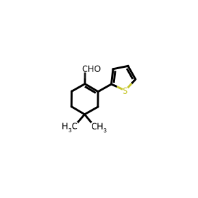 CC1(C)CCC(C=O)=C(c2cccs2)C1